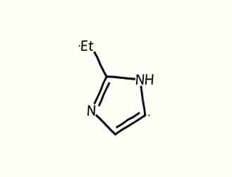 C[CH]c1nc[c][nH]1